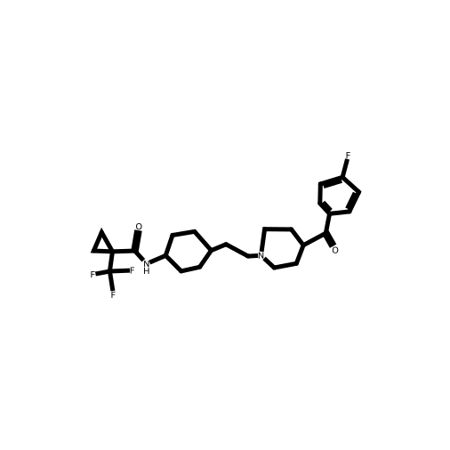 O=C(c1ccc(F)cc1)C1CCN(CCC2CCC(NC(=O)C3(C(F)(F)F)CC3)CC2)CC1